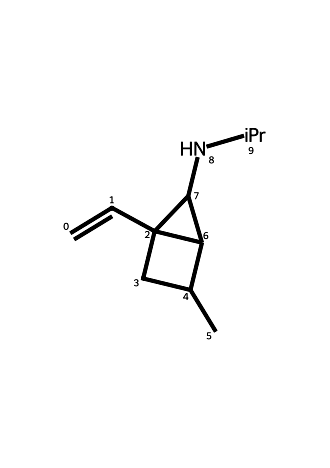 C=CC12CC(C)C1C2NC(C)C